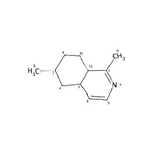 CC1=NC=CC2C[C@H](C)CCC12